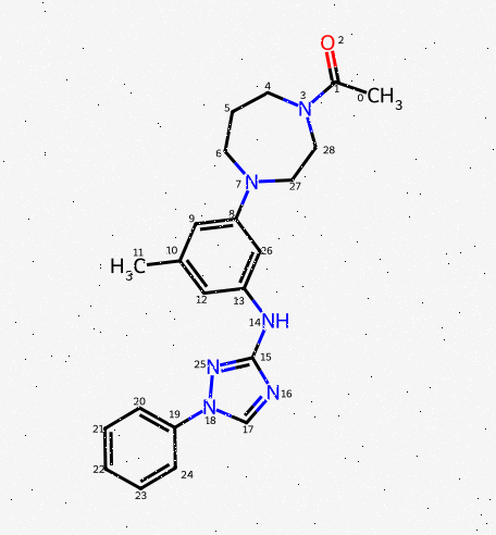 CC(=O)N1CCCN(c2cc(C)cc(Nc3ncn(-c4ccccc4)n3)c2)CC1